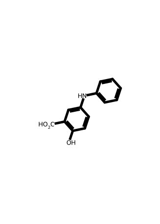 O=C(O)c1cc(Nc2ccccc2)ccc1O